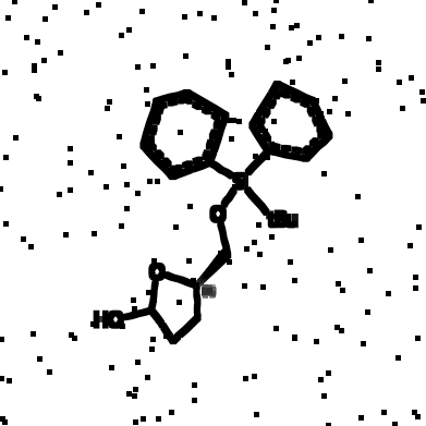 CC(C)(C)[Si](OC[C@H]1CCC(O)O1)(c1ccccc1)c1ccccc1